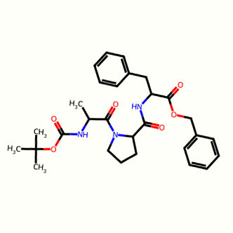 CC(NC(=O)OC(C)(C)C)C(=O)N1CCCC1C(=O)NC(Cc1ccccc1)C(=O)OCc1ccccc1